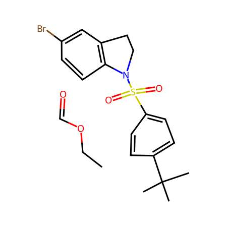 CC(C)(C)c1ccc(S(=O)(=O)N2CCc3cc(Br)ccc32)cc1.CCOC=O